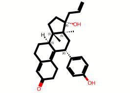 C=CC[C@]1(O)CC[C@@]2(C)[C@@H]3CCC4=CC(=O)CCC4=C3[C@@H](c3ccc(O)cc3)C[C@]12C